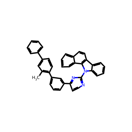 Cc1cc(-c2ccccc2)ccc1-c1cccc(-c2ccnc(-n3c4ccccc4c4ccc5ccccc5c43)n2)c1